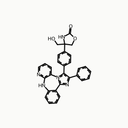 O=C1NC(CO)(c2ccc(-c3c(-c4ccccc4)nc4n3-c3cccnc3Nc3ccccc3-4)cc2)CO1